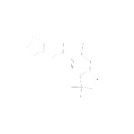 CC(=Cc1ccno1)c1cc2c(cc1C(C)C)C(C)(C)CC2(C)C